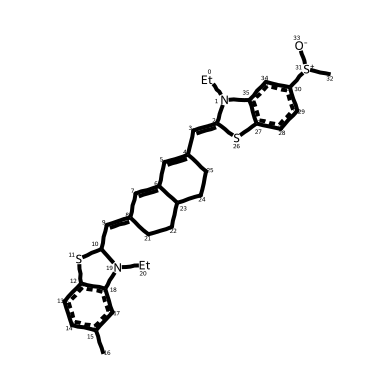 CCN1/C(=C/C2=CC3=C/C(=C/C4Sc5ccc(C)cc5N4CC)CCC3CC2)Sc2ccc([S+](C)[O-])cc21